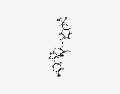 Cc1noc(-c2ccc(Br)cc2)c1NC(=O)OCCc1cccc(O[Si](C)(C)C(C)(C)C)c1